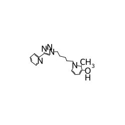 CC1C(O)=CC=CN1CCCCCn1cc(-c2ccccn2)nn1